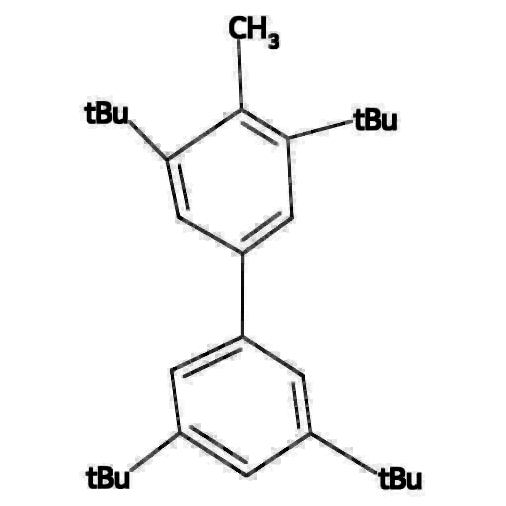 Cc1c(C(C)(C)C)cc(-c2cc(C(C)(C)C)cc(C(C)(C)C)c2)cc1C(C)(C)C